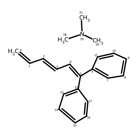 C=CC=CC=C(c1ccccc1)c1ccccc1.CN(C)C